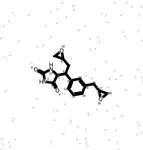 O=C1NC(=O)C(C(CC2CO2)c2cccc(CC3CO3)c2)N1